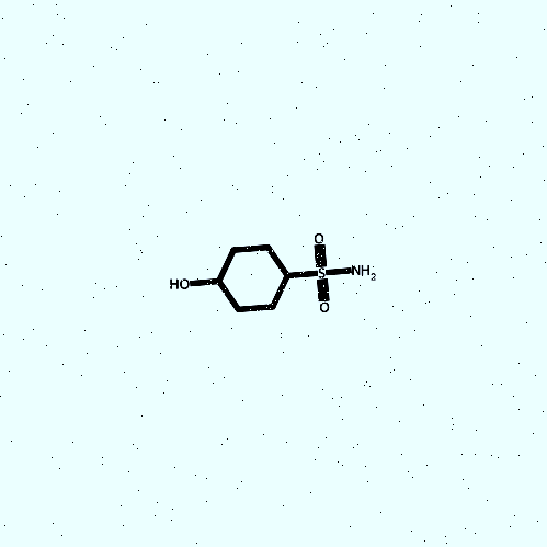 NS(=O)(=O)C1CCC(O)CC1